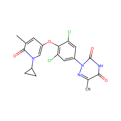 Cc1cc(Oc2c(Cl)cc(-n3nc(C#N)c(=O)[nH]c3=O)cc2Cl)cn(C2CC2)c1=O